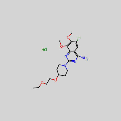 CCOCCOC1CCN(c2nc(N)c3cc(Cl)c(OC)c(OC)c3n2)CC1.Cl